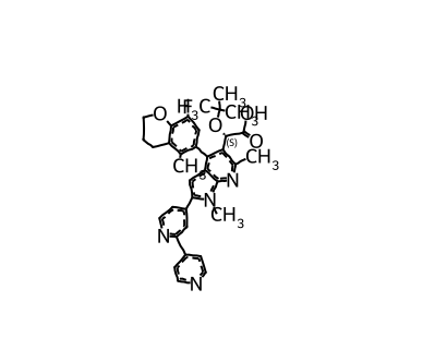 Cc1nc2c(cc(-c3ccnc(-c4ccncc4)c3)n2C)c(-c2cc(F)c3c(c2C)CCCO3)c1[C@H](OC(C)(C)C)C(=O)O